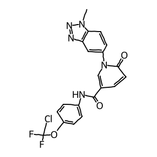 Cn1nnc2cc(-n3cc(C(=O)Nc4ccc(OC(F)(F)Cl)cc4)ccc3=O)ccc21